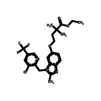 CCOC(=O)C(C)(C)CCOc1ccc2nc(C)n(Cc3ncc(C(F)(F)F)cc3Cl)c2c1